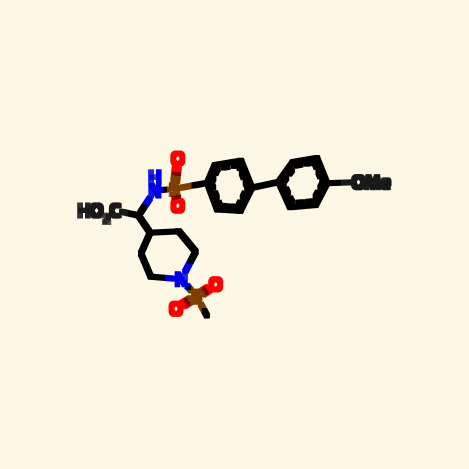 COc1ccc(-c2ccc(S(=O)(=O)NC(C(=O)O)C3CCN(S(C)(=O)=O)CC3)cc2)cc1